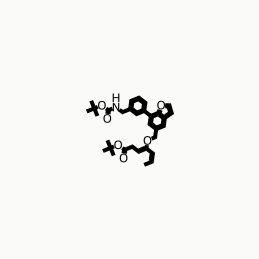 C/C=C\C(=C\CC(=O)OC(C)(C)C)OCc1cc(-c2cccc(CNC(=O)OC(C)(C)C)c2)c2occc2c1